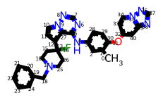 Cc1cc(Nc2ncnn3ccc(C4(F)CCN(Cc5ccccc5)CC4)c23)ccc1Oc1ccn2ncnc2c1